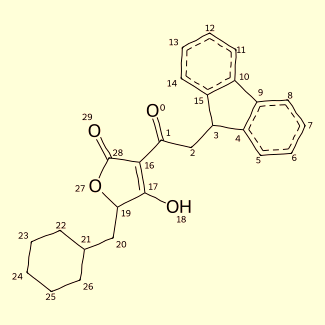 O=C(CC1c2ccccc2-c2ccccc21)C1=C(O)C(CC2CCCCC2)OC1=O